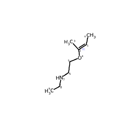 C/C=C(\C)OCCNCC